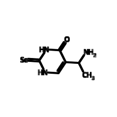 CC(N)c1c[nH]c(=[Se])[nH]c1=O